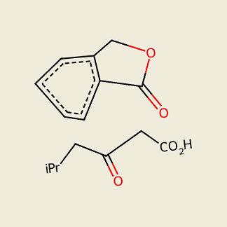 CC(C)CC(=O)CC(=O)O.O=C1OCc2ccccc21